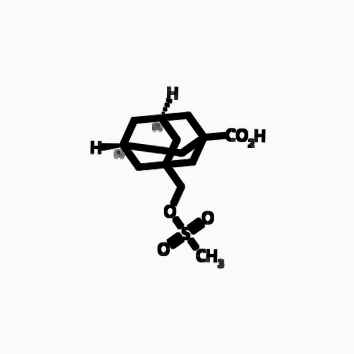 CS(=O)(=O)OCC12C[C@H]3C[C@@H](C1)CC(C(=O)O)(C3)C2